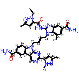 CCn1nc(C)cc1C(=O)Nc1nc2cc(C(N)=O)cc(C)c2n1C/C=C/Cn1c2ccc(C(N)=O)cc2c2cnc(-c3cc(C)nn3C)nc21